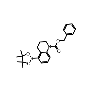 CC1(C)OB(c2cccc3c2CCCN3C(=O)OCc2ccccc2)OC1(C)C